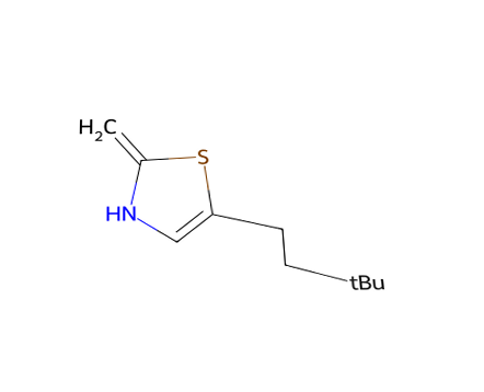 C=C1NC=C(CCC(C)(C)C)S1